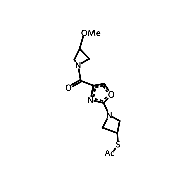 COC1CN(C(=O)c2coc(N3CC(SC(C)=O)C3)n2)C1